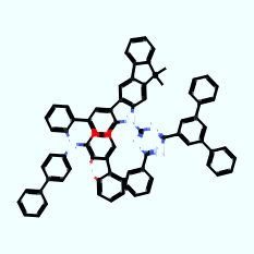 CC1(C)c2ccccc2-c2cc3c4cc(-c5ccccc5N(c5ccc(-c6ccccc6)cc5)c5cccc6c5oc5ccccc56)ccc4n(-c4nc(-c5ccccc5)nc(-c5cc(-c6ccccc6)cc(-c6ccccc6)c5)n4)c3cc21